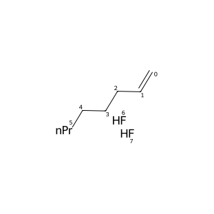 C=CCCCCCC.F.F